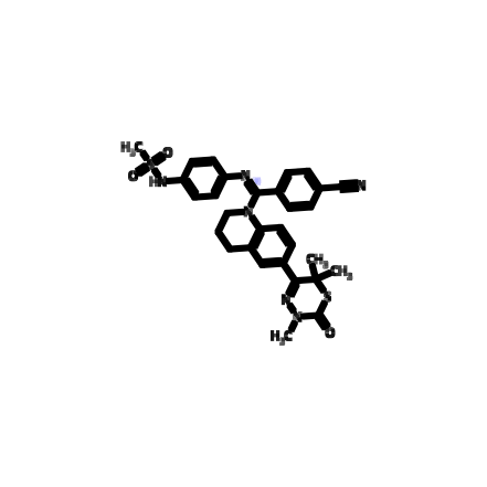 CN1N=C(c2ccc3c(c2)CCCN3/C(=N\c2ccc(NS(C)(=O)=O)cc2)c2ccc(C#N)cc2)C(C)(C)SC1=O